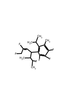 Cc1c(F)c(F)c(F)c(C(/C=C(/F)CF)C(C)C(C)F)c1C(C)C